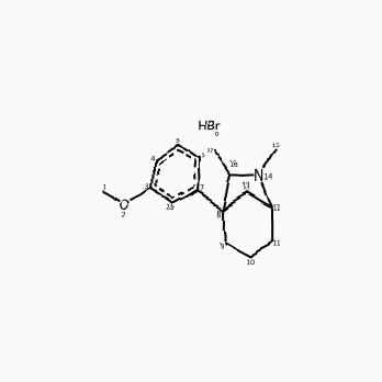 Br.COc1cccc(C23CCCC(C2)N(C)C3C)c1